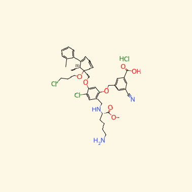 COC(=O)C(CCCCN)NCc1cc(Cl)c(OCC2(OCCCCl)C=CC=C(c3ccccc3C)[C@@H]2C)cc1OCc1cc(C#N)cc(C(=O)O)c1.Cl